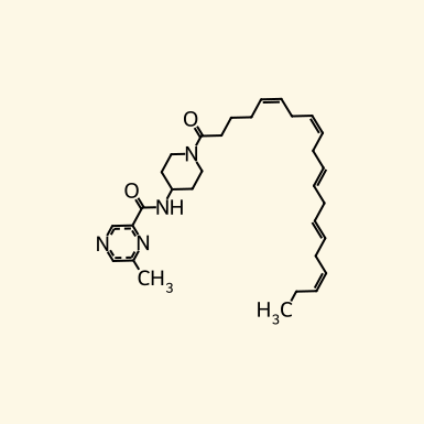 CC/C=C\CC=CCC=CC/C=C\C/C=C\CCCC(=O)N1CCC(NC(=O)c2cncc(C)n2)CC1